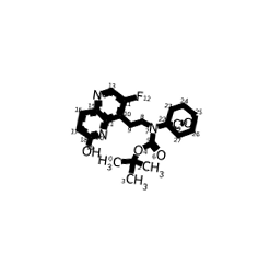 CC(C)(C)OC(=O)N(CCc1c(F)cnc2ccc(O)nc12)C12CCC(CC1)OC2